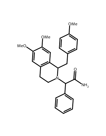 COc1ccc(CC2c3cc(OC)c(OC)cc3CCN2C(C(N)=O)c2ccccc2)cc1